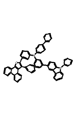 c1ccc(-c2ccc(N(c3cccc(-c4ccc5c(c4)c4ccccc4n5-c4ccccc4)c3)c3cccc(-c4oc5c6ccccc6c6ccccc6c5c4-c4ccccc4)c3)cc2)cc1